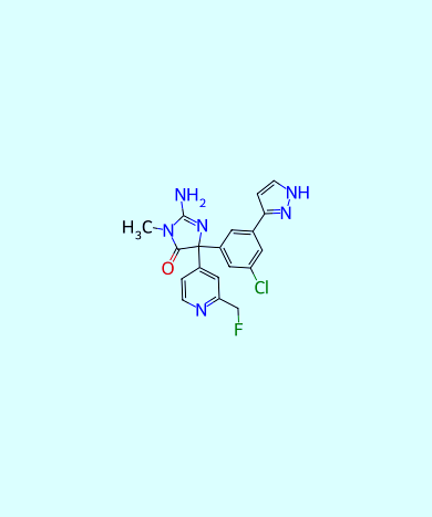 CN1C(=O)C(c2cc(Cl)cc(-c3cc[nH]n3)c2)(c2ccnc(CF)c2)N=C1N